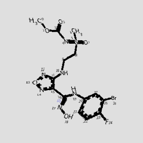 COC(=O)N=S(C)(=O)CCNc1nonc1/C(=N/O)Nc1ccc(F)c(Br)c1